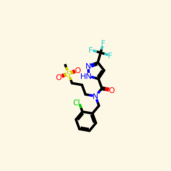 CS(=O)(=O)CCCN(Cc1ccccc1Cl)C(=O)c1cc(C(F)(F)F)n[nH]1